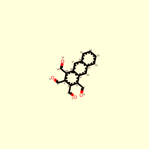 O=Cc1c(C=O)c(C=O)c2cc3ccccc3cc2c1C=O